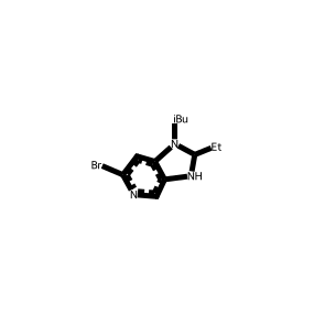 CCC(C)N1c2cc(Br)ncc2NC1CC